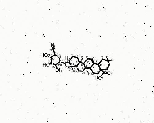 CC1(C)CC[C@]2(C(=O)O)CC[C@]3(C)C(=CCC4[C@@]5(C)CC[C@@H]6[C@H]([C@@H]7OC(C#N)[C@@H](O)C(O)C7O)O[C@@]6(C)C5CC[C@]43C)C2C1